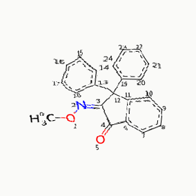 CON=C1C(=O)c2ccccc2C1(c1ccccc1)c1ccccc1